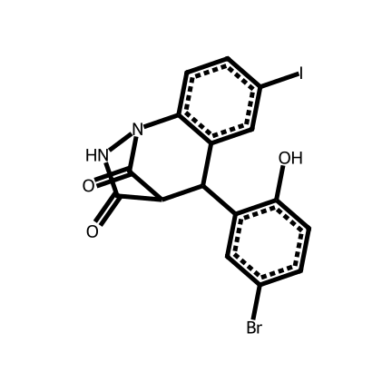 O=C1NN2C(=O)C1C(c1cc(Br)ccc1O)c1cc(I)ccc12